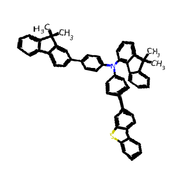 CC1(C)c2ccccc2-c2ccc(-c3ccc(N(c4ccc(-c5ccc6c(c5)sc5ccccc56)cc4)c4cccc5c4-c4ccccc4C5(C)C)cc3)cc21